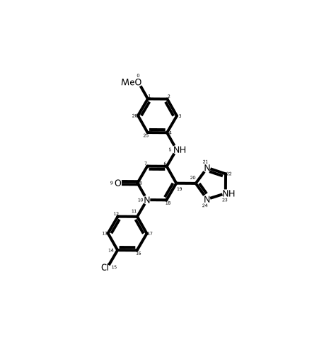 COc1ccc(Nc2cc(=O)n(-c3ccc(Cl)cc3)cc2-c2nc[nH]n2)cc1